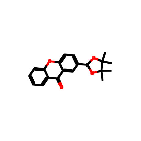 CC1(C)OB(c2ccc3oc4ccccc4c(=O)c3c2)OC1(C)C